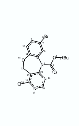 CC(C)(C)OC(=O)N1c2cc(Br)ccc2OCc2c(Cl)ncnc21